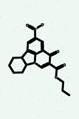 CCCOC(=O)c1cn2c3c(cc([N+](=O)[O-])cc3c1=O)C1CCCCC12